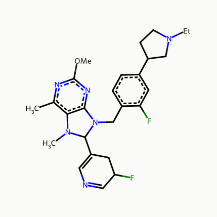 CCN1CCC(c2ccc(CN3c4nc(OC)nc(C)c4N(C)C3C3=CN=CC(F)C3)c(F)c2)C1